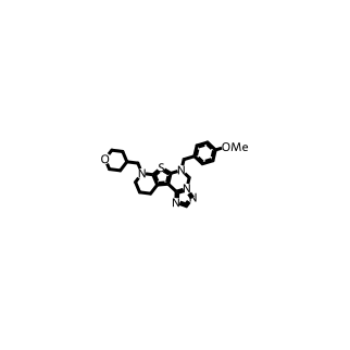 COc1ccc(CN2Cn3ncnc3-c3c2sc2c3CCCN2CC2CCOCC2)cc1